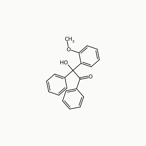 COc1ccccc1C(O)(C(=O)c1ccccc1)c1ccccc1